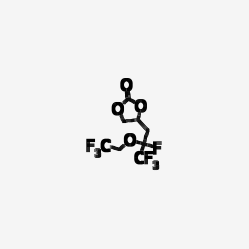 O=C1OCC(CC(F)(OCC(F)(F)F)C(F)(F)F)O1